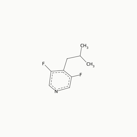 CC(C)Cc1c(F)cncc1F